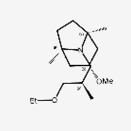 CCOC[C@H](C)CN1[C@@]2(C)CC[C@]1(C)C[C@@H](OC)C2